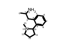 CC(N)Cc1ccccc1C1CCCN1C